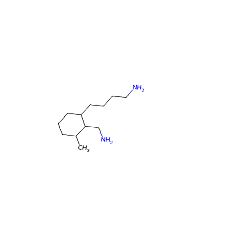 CC1CCCC(CCCCN)C1CN